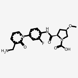 CO[C@@H]1C[C@H](C(=O)Nc2ccc(-n3cccc(CN)c3=O)cc2F)N(C(=O)O)C1